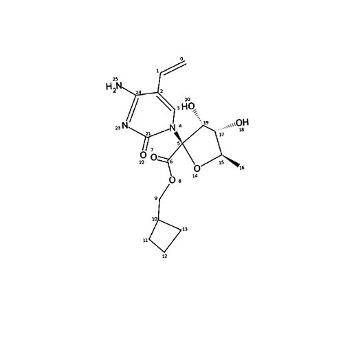 C=Cc1cn([C@]2(C(=O)OCC3CCC3)O[C@H](C)[C@@H](O)[C@H]2O)c(=O)nc1N